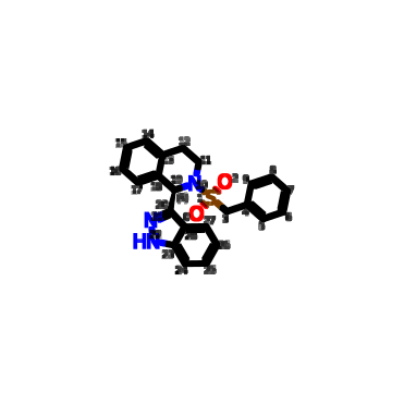 O=S(=O)(Cc1ccccc1)N1CCc2ccccc2[C@@H]1c1n[nH]c2ccccc12